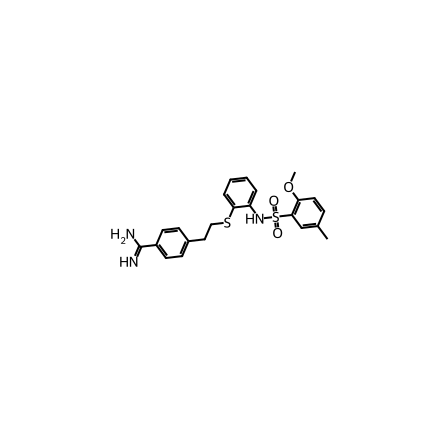 COc1ccc(C)cc1S(=O)(=O)Nc1ccccc1SCCc1ccc(C(=N)N)cc1